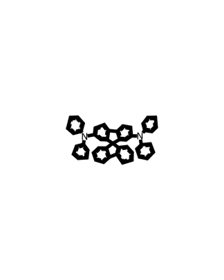 c1ccc(N(c2ccccc2)c2ccc3c(c2)C2(c4ccccc4-c4ccccc42)c2cc(N(c4ccccc4)c4ccccc4)ccc2-3)cc1